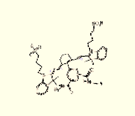 CC(C)NC(=O)c1cc(C(=O)NC(C)C)cc(C2=C(/C=C/C3=[N+](CCCCS(=O)(=O)O)c4ccccc4C3(C)C)CCC/C2=C\C=C2\N(CCCCS(=O)(=O)[O-])c3ccccc3C2(C)C)c1